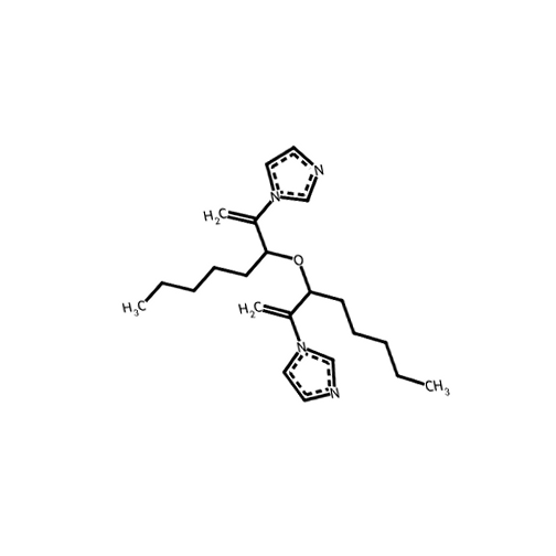 C=C(C(CCCCC)OC(CCCCC)C(=C)n1ccnc1)n1ccnc1